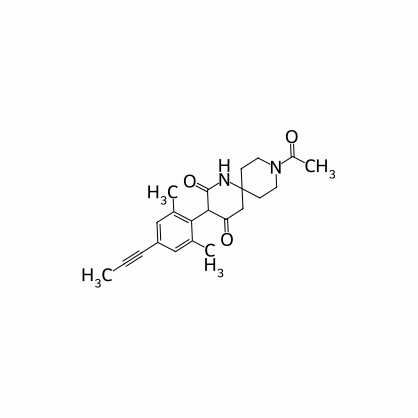 CC#Cc1cc(C)c(C2C(=O)CC3(CCN(C(C)=O)CC3)NC2=O)c(C)c1